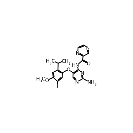 COc1cc(C(C)C)c(Oc2cnc(N)nc2NC(=O)c2cnccn2)cc1I